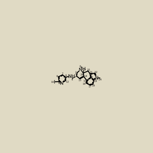 CN1C[C@H](CNc2ccc(I)nc2)C=C2c3cccc4c3c(cn4C)C[C@H]21